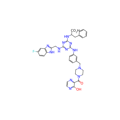 O=C(O)C(Cc1ccccc1)Nc1nc(NCc2nc3cc(F)ccc3[nH]2)nc(Nc2cccc(CN3CCN(C(=O)c4nccnc4O)CC3)c2)n1